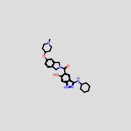 CN1CCC(Oc2ccc3c(c2)CN(C(=O)c2cc4c(NC5CCCCC5)n[nH]c4cc2O)C3)CC1